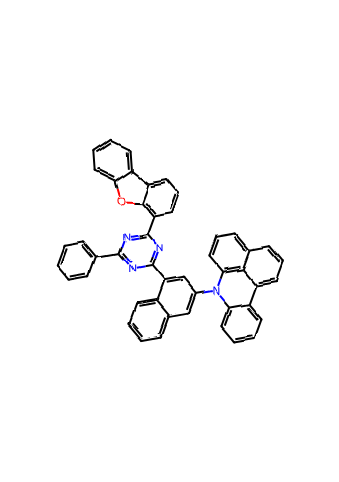 c1ccc(-c2nc(-c3cc(N4c5ccccc5-c5cccc6cccc4c56)cc4ccccc34)nc(-c3cccc4c3oc3ccccc34)n2)cc1